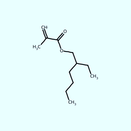 [CH]=C(C)C(=O)OCC(CC)CCCC